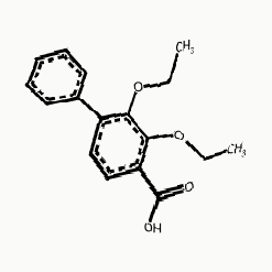 CCOc1c(C(=O)O)ccc(-c2ccccc2)c1OCC